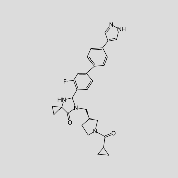 O=C(C1CC1)N1CC[C@@H](CN2C(=O)C3(CC3)NC2c2ccc(-c3ccc(-c4cn[nH]c4)cc3)cc2F)C1